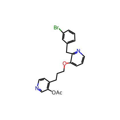 CC(=O)Oc1cnccc1CCCOc1cccnc1Cc1cccc(Br)c1